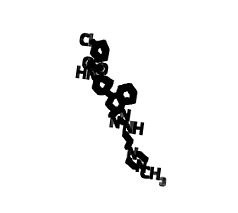 CN1CCN(CCCNc2ncc3c(n2)-c2ccccc2C(c2ccc(NS(=O)(=O)c4cccc(Cl)c4)cc2)C3)CC1